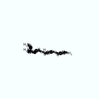 NCc1cnc(N2CCN(C(=O)CCOCCN3CCN(c4ncc(C(=O)NCCOCCC(=O)N5CCc6cc(Cn7nc(-c8ccc9oc(N)nc9c8)c8c(N)ncnc87)ccc6C5)cn4)CC3)CC2)nc1